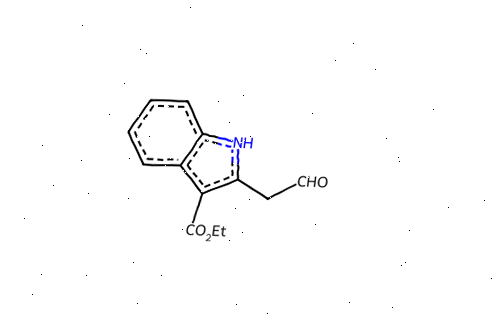 CCOC(=O)c1c(CC=O)[nH]c2ccccc12